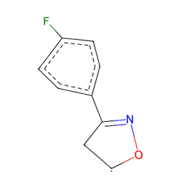 Fc1ccc(C2=NO[CH]C2)cc1